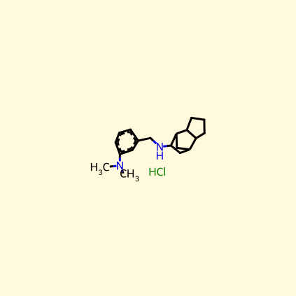 CN(C)c1cccc(CNC2CC3CC2C2CCCC32)c1.Cl